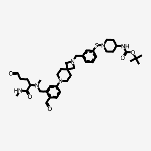 CNC(=O)C(CCC=O)N(C)Cc1cc(N2CCC3(CC2)CN(Cc2cccc(SN4CCC(NC(=O)OC(C)(C)C)CC4)c2)C3)ccc1C=O